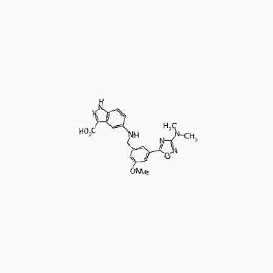 COc1cc(CNc2ccc3[nH]nc(C(=O)O)c3c2)cc(-c2nc(N(C)C)no2)c1